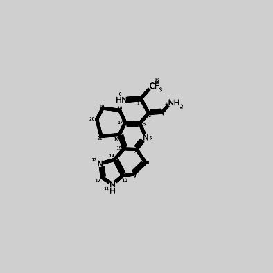 N=C(/C(=C\N)c1nc2ccc3[nH]cnc3c2c2c1CCCC2)C(F)(F)F